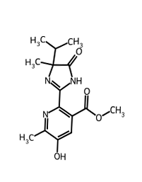 COC(=O)c1cc(O)c(C)nc1C1=NC(C)(C(C)C)C(=O)N1